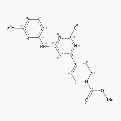 CC(C)(C)OC(=O)N1CC=C(c2nc(Cl)nc(Nc3cccc(C(F)(F)F)c3)n2)CC1